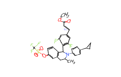 COC(=O)/C=C/c1cc(F)c(C2c3ccc(OS(=O)(=O)C(F)(F)F)cc3CC(C)N2c2ccc(C3CC3)cc2)c(F)c1